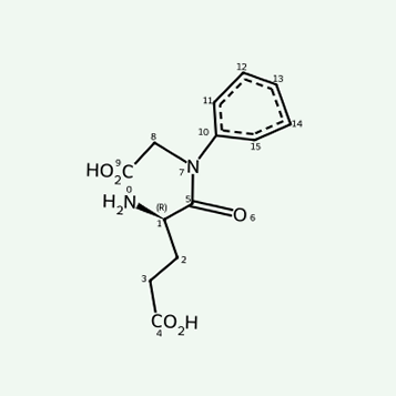 N[C@H](CCC(=O)O)C(=O)N(CC(=O)O)c1ccccc1